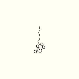 CCCCCCCCC(=O)ON1C(=O)CCC1=O